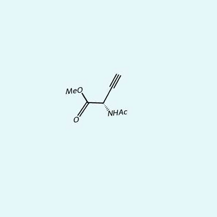 C#C[C@H](NC(C)=O)C(=O)OC